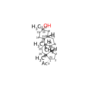 CC(=O)[C@H]1CC[C@H]2[C@@H]3CC[C@H]4C[C@](C)(O)CC[C@]4(C)[C@@]3(C)CC[C@]12C